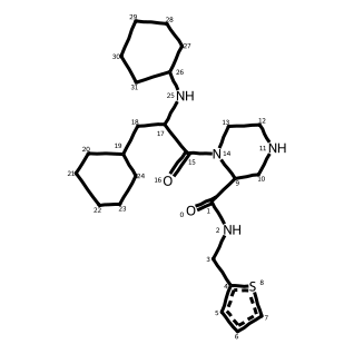 O=C(NCc1cccs1)C1CNCCN1C(=O)C(CC1CCCCC1)NC1CCCCC1